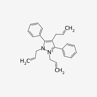 C=CCc1c(-c2ccccc2)n(CC=C)[n+](CC=C)c1-c1ccccc1